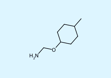 CC1CCC(OCN)CC1